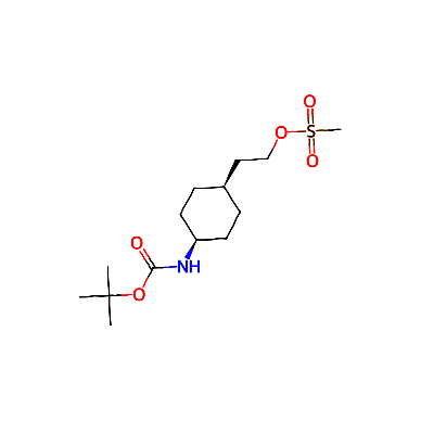 CC(C)(C)OC(=O)N[C@H]1CC[C@@H](CCOS(C)(=O)=O)CC1